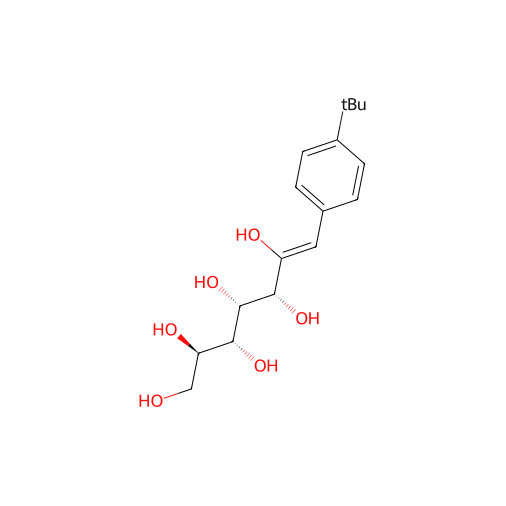 CC(C)(C)c1ccc(C=C(O)[C@H](O)[C@@H](O)[C@H](O)[C@H](O)CO)cc1